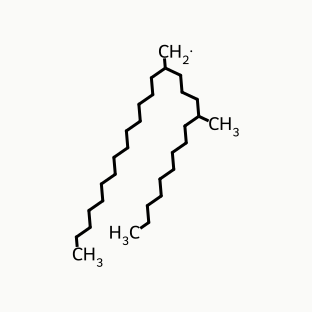 [CH2]C(CCCCCCCCCCCCCC)CCCC(C)CCCCCCCCC